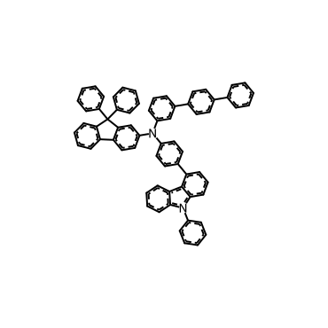 c1ccc(-c2ccc(-c3cccc(N(c4ccc(-c5cccc6c5c5ccccc5n6-c5ccccc5)cc4)c4ccc5c(c4)C(c4ccccc4)(c4ccccc4)c4ccccc4-5)c3)cc2)cc1